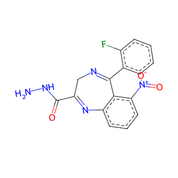 NNC(=O)C1=Nc2cccc([N+](=O)[O-])c2C(c2ccccc2F)=NC1